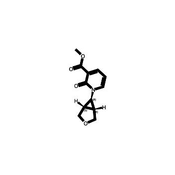 COC(=O)c1cccn([C@H]2[C@@H]3COC[C@@H]32)c1=O